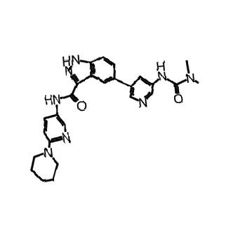 CN(C)C(=O)Nc1cncc(-c2ccc3[nH]nc(C(=O)Nc4ccc(N5CCCCC5)nc4)c3c2)c1